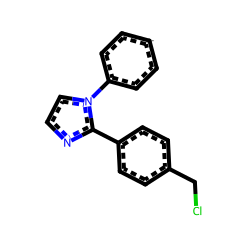 ClCc1ccc(-c2nccn2-c2cc[c]cc2)cc1